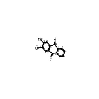 O=C1c2ccccc2C(=O)c2cc(Cl)c(Cl)cc21